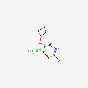 Cc1ccc(OC2CCC2)cn1.Cl.Cl